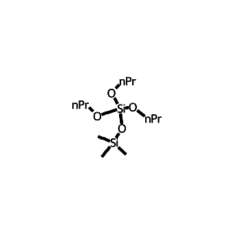 CCCO[Si](OCCC)(OCCC)O[Si](C)(C)C